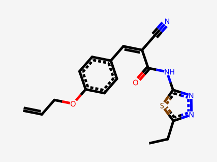 C=CCOc1ccc(C=C(C#N)C(=O)Nc2nnc(CC)s2)cc1